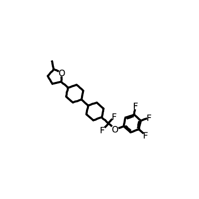 CC1CCC(C2CCC(C3CCC(C(F)(F)Oc4cc(F)c(F)c(F)c4)CC3)CC2)O1